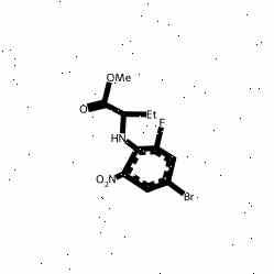 CCC(Nc1c(F)cc(Br)cc1[N+](=O)[O-])C(=O)OC